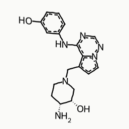 N[C@@H]1CCN(Cc2ccn3ncnc(Nc4cccc(O)c4)c23)C[C@@H]1O